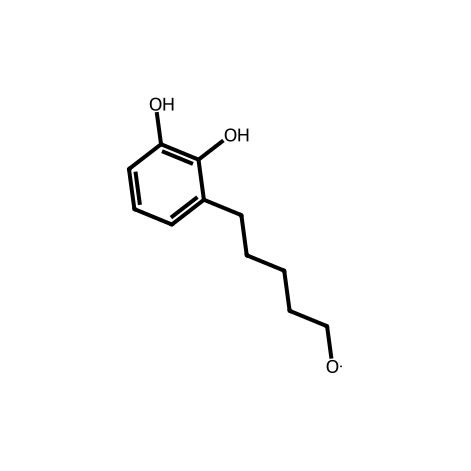 [O]CCCCCc1cccc(O)c1O